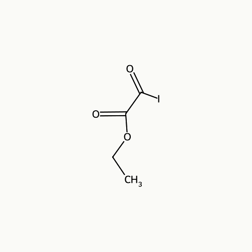 CCOC(=O)C(=O)I